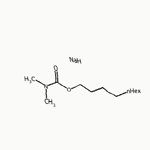 CCCCCCCCCCOC(=O)N(C)C.[NaH]